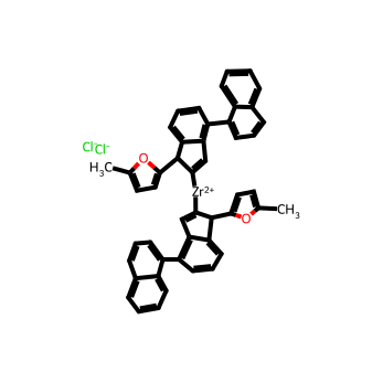 Cc1ccc(C2[C]([Zr+2][C]3=Cc4c(-c5cccc6ccccc56)cccc4C3c3ccc(C)o3)=Cc3c(-c4cccc5ccccc45)cccc32)o1.[Cl-].[Cl-]